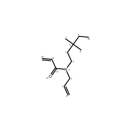 C=CCN(CCC(C)(C)CC)C(=O)C=C